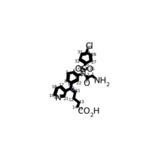 NCC(=O)N(c1cccc(/C(=C/CCCC(=O)O)c2cccnc2)c1)S(=O)(=O)c1ccc(Cl)cc1